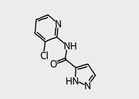 O=C(Nc1ncccc1Cl)c1ccn[nH]1